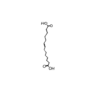 O=C(O)CCCCC=CCCCCCCC(=O)O